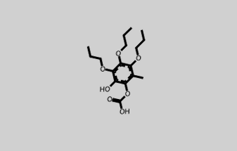 CCCOc1c(C)c(OC(=O)O)c(O)c(OCCC)c1OCCC